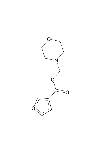 O=C(OCN1CCOCC1)c1ccoc1